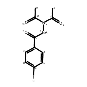 CC(=O)N(NC(=O)c1ccc(I)cc1)C(C)=O